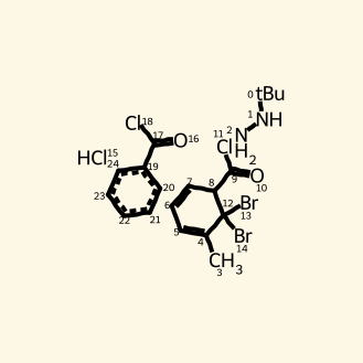 CC(C)(C)NN.CC1=CC=CC(C(=O)Cl)C1(Br)Br.Cl.O=C(Cl)c1ccccc1